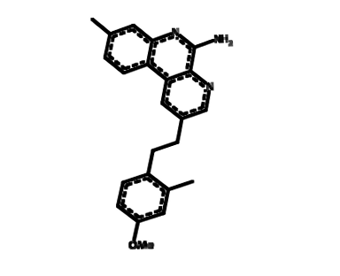 COc1ccc(CCc2cnc3c(N)nc4cc(C)ccc4c3c2)c(C)c1